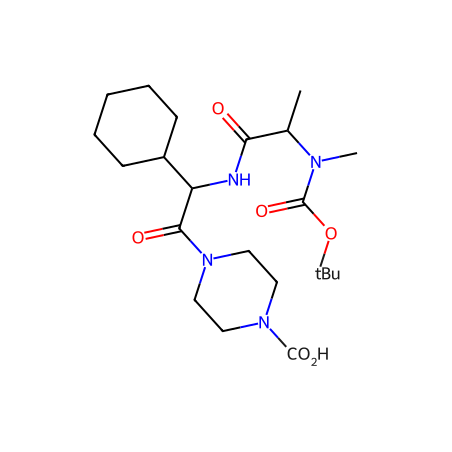 CC(C(=O)NC(C(=O)N1CCN(C(=O)O)CC1)C1CCCCC1)N(C)C(=O)OC(C)(C)C